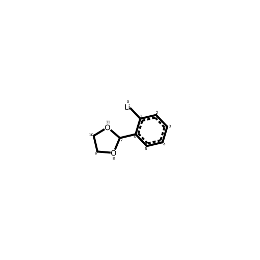 [Li][c]1ccccc1C1OCCO1